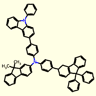 CC1(C)c2ccccc2-c2ccc(N(c3ccc(-c4ccc5c(c4)c4ccccc4n5-c4ccccc4)cc3)c3ccc(C4C=CC5=C(C4)c4ccccc4C5(c4ccccc4)c4ccccc4)cc3)cc21